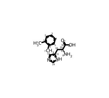 Cc1ccccc1C.N[C@@H](Cc1cnc[nH]1)C(=O)O